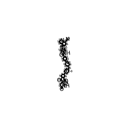 C[C@@H]1CN(c2ccc3c(c2)C(=O)N(C2CCC(=O)NC2=O)C3=O)CCN1CC1CCN(c2ccc(C(=O)NC3C(C)(C)C(Oc4ccc(C#N)c5ncccc45)C3(C)C)cc2)CC1